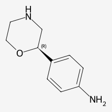 Nc1ccc([C@@H]2CNCCO2)cc1